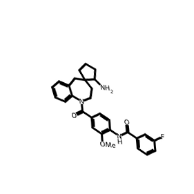 COc1cc(C(=O)N2CCC3(CCCC3N)Cc3ccccc32)ccc1NC(=O)c1cccc(F)c1